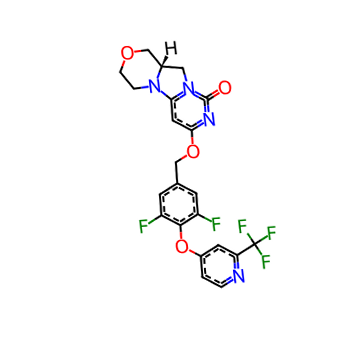 O=c1nc(OCc2cc(F)c(Oc3ccnc(C(F)(F)F)c3)c(F)c2)cc2n1C[C@H]1COCCN21